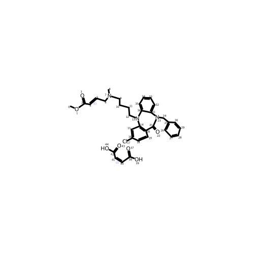 COC(=O)/C=C/CN(C)CCCCN1c2cc(Cl)ccc2C(=O)N(Cc2ccccc2)c2ccccc21.O=C(O)/C=C\C(=O)O